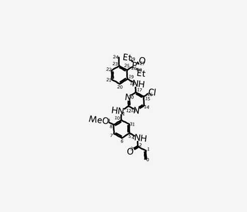 C=CC(=O)Nc1ccc(OC)c(Nc2ncc(Cl)c(Nc3cccc(C)c3P(=O)(CC)CC)n2)c1